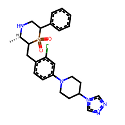 C[C@@H]1NCC(c2ccccc2)S(=O)(=O)C1Cc1ccc(N2CCC(n3cnnc3)CC2)cc1F